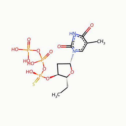 CC[C@H]1O[C@@H](n2cc(C)c(=O)[nH]c2=O)C[C@@H]1O[P@](O)(=S)OP(=O)(O)OP(=O)(O)O